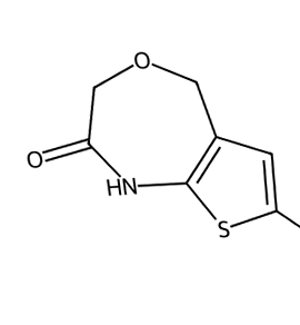 Cc1cc2c(s1)NC(=O)COC2